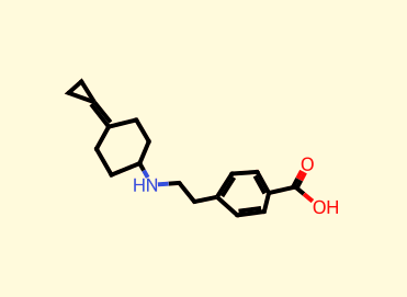 O=C(O)c1ccc(CCNC2CCC(=C3CC3)CC2)cc1